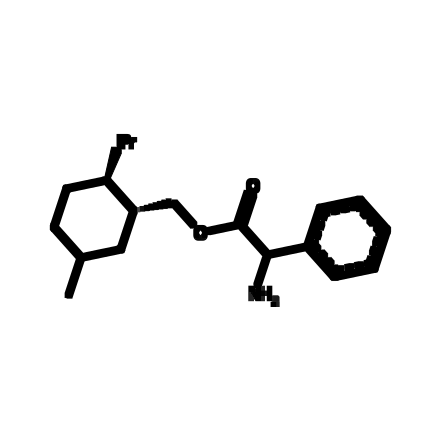 CC1CC[C@@H](C(C)C)[C@H](COC(=O)C(N)c2ccccc2)C1